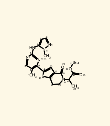 Cc1cnc(Nc2ccnn2C)nc1-c1cc2c(s1)CCN(C(C)C(=O)OC(C)(C)C)C2=O